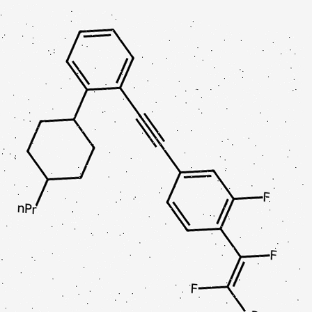 CCCCC(F)=C(F)c1ccc(C#Cc2ccccc2C2CCC(CCC)CC2)cc1F